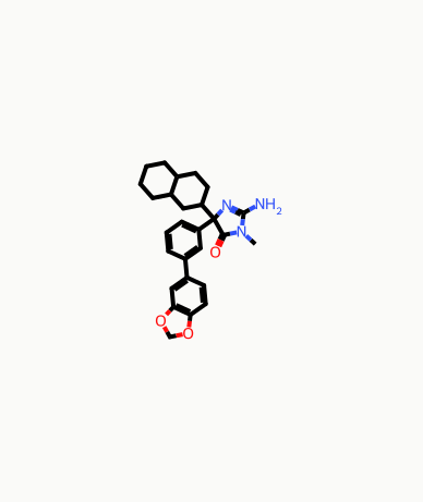 CN1C(=O)C(c2cccc(-c3ccc4c(c3)OCO4)c2)(C2CCC3CCCCC3C2)N=C1N